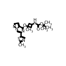 Cc1ncc(-c2cn3nccc3c(OC3(C)CC(NC(=O)OC(C)(C)C)C3)n2)s1